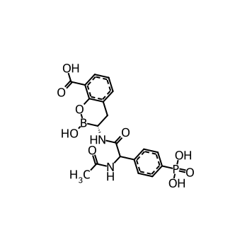 CC(=O)NC(C(=O)N[C@H]1Cc2cccc(C(=O)O)c2OB1O)c1ccc(P(=O)(O)O)cc1